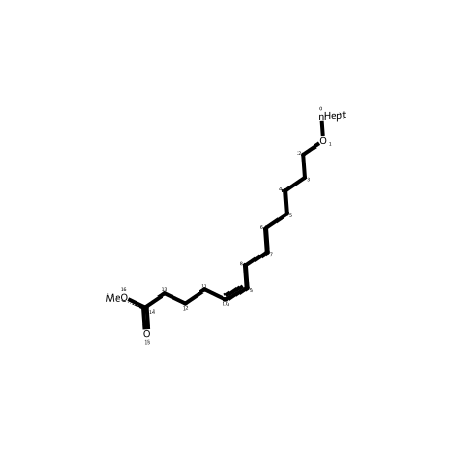 CCCCCCCOCCCCCCC/C=C\CCCC(=O)OC